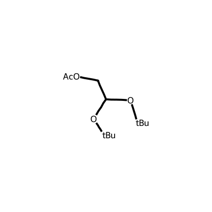 CC(=O)OCC(OC(C)(C)C)OC(C)(C)C